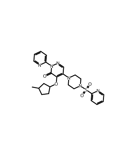 CC1CCC(Oc2c(N3CCN(S(=O)(=O)c4ccccn4)CC3)cnn(-c3ccccn3)c2=O)C1